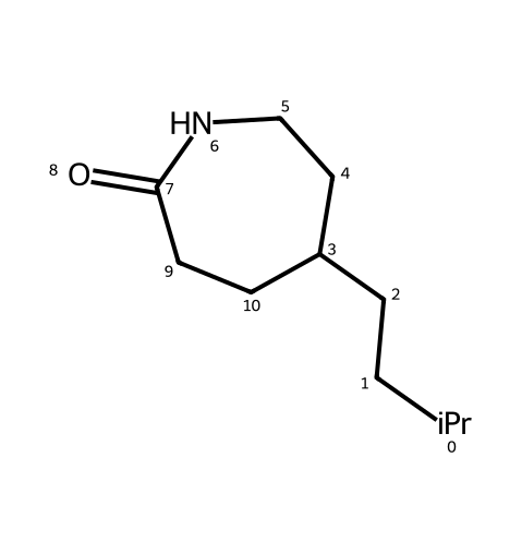 CC(C)CCC1CCNC(=O)CC1